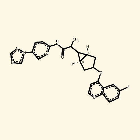 CC(C(=O)Nc1ccc(-n2cncn2)cn1)C1[C@H]2CC(Oc3ccnc4ccc(F)cc34)C[C@@H]12